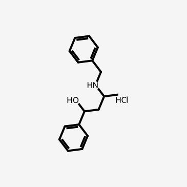 CC(CC(O)c1ccccc1)NCc1ccccc1.Cl